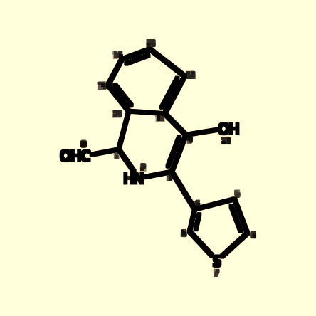 O=CC1NC(c2ccsc2)=C(O)c2ccccc21